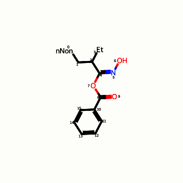 CCCCCCCCCCC(CC)C(=NO)OC(=O)c1ccccc1